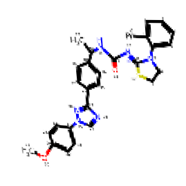 CC(C)c1ccccc1N1CCS/C1=N\C(=O)NC(C)c1ccc(-c2ncn(-c3ccc(OC(F)(F)F)cc3)n2)cc1